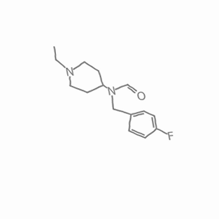 CCN1CCC(N(C=O)Cc2ccc(F)cc2)CC1